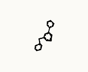 c1ccc(Cc2cccc(-c3ccccc3)c2)cc1